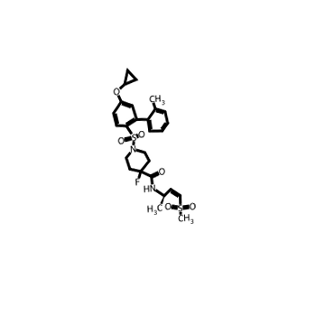 Cc1ccccc1-c1cc(OC2CC2)ccc1S(=O)(=O)N1CCC(F)(C(=O)N[C@H](C)/C=C\S(C)(=O)=O)CC1